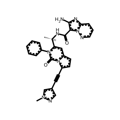 C[C@H](NC(=O)c1c(N)nc2cccnn12)c1cc2ccc(C#Cc3cnn(C)c3)n2c(=O)n1-c1ccccc1